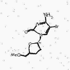 COCC1CC[C@H](n2cc(Br)c(N)nc2=O)O1